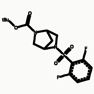 CC(C)(C)OC(=O)N1CC2CC1CN2S(=O)(=O)c1c(F)cccc1F